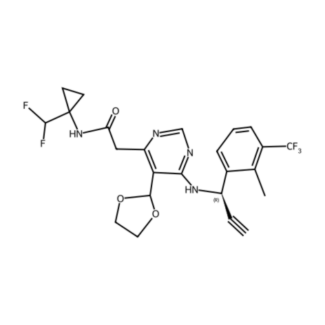 C#C[C@@H](Nc1ncnc(CC(=O)NC2(C(F)F)CC2)c1C1OCCO1)c1cccc(C(F)(F)F)c1C